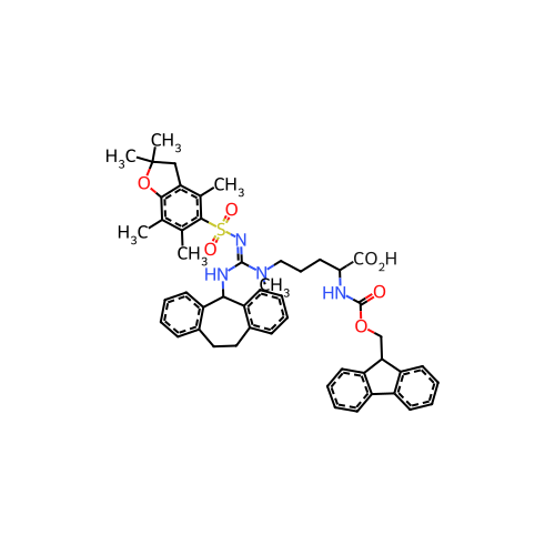 Cc1c(C)c(S(=O)(=O)/N=C(\NC2c3ccccc3CCc3ccccc32)N(C)CCCC(NC(=O)OCC2c3ccccc3-c3ccccc32)C(=O)O)c(C)c2c1OC(C)(C)C2